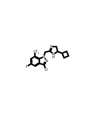 Fc1cc(C(F)(F)F)c2c(c1)c(Cl)nn2CC1=NCC(C2CCC2)N1